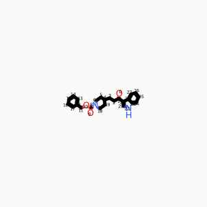 O=C(CCC1CCN(C(=O)OCc2ccccc2)CC1)c1c[nH]c2ccccc12